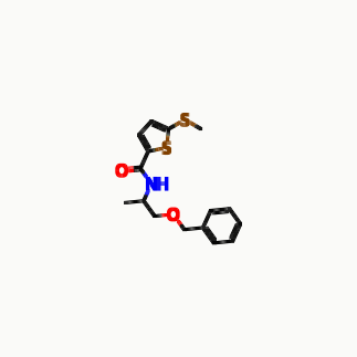 CSc1ccc(C(=O)NC(C)COCc2ccccc2)s1